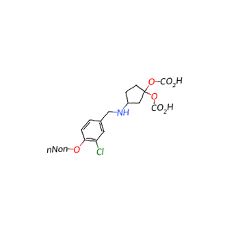 CCCCCCCCCOc1ccc(CNC2CCC(OC(=O)O)(OC(=O)O)C2)cc1Cl